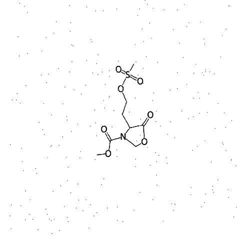 COC(=O)N1COC(=O)C1CCOS(C)(=O)=O